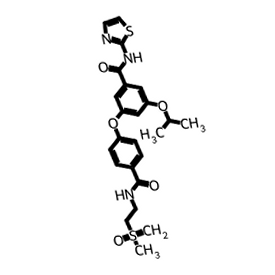 C=S(C)(=O)CCNC(=O)c1ccc(Oc2cc(OC(C)C)cc(C(=O)Nc3nccs3)c2)cc1